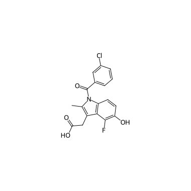 Cc1c(CC(=O)O)c2c(F)c(O)ccc2n1C(=O)c1cccc(Cl)c1